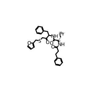 CC(C)C[C@H](NC(=O)CCc1ccccc1)C(=O)NC(Cc1ccccc1)C(=O)CSCc1ccco1